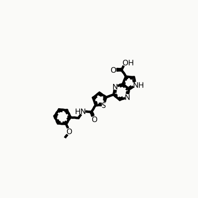 COc1ccccc1CNC(=O)c1ccc(-c2cnc3[nH]cc(C(=O)O)c3n2)s1